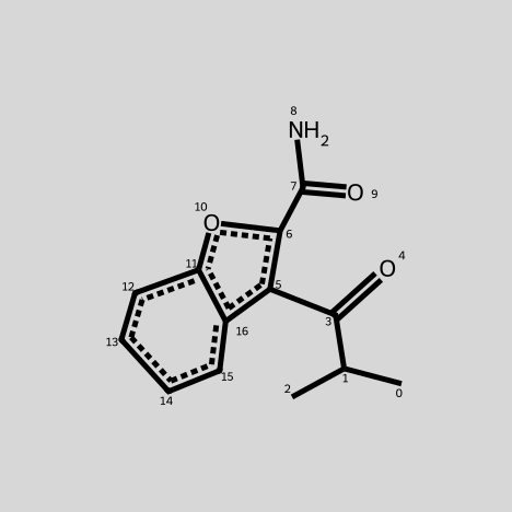 CC(C)C(=O)c1c(C(N)=O)oc2ccccc12